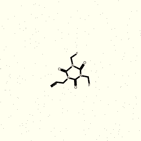 C=CCn1c(=O)n(CF)c(=O)n(CF)c1=O